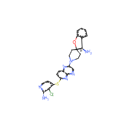 Nc1nccc(Sc2ccc3nc(N4CCC5(CC4)Oc4ccccc4[C@H]5N)cnc3n2)c1Cl